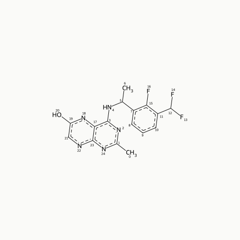 Cc1nc(NC(C)c2cccc(C(F)F)c2F)c2nc(O)cnc2n1